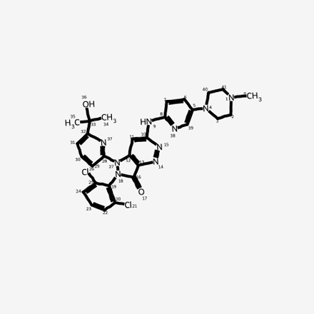 CN1CCN(c2ccc(Nc3cc4c(nn3)c(=O)n(-c3c(Cl)cccc3Cl)n4-c3cccc(C(C)(C)O)n3)nc2)CC1